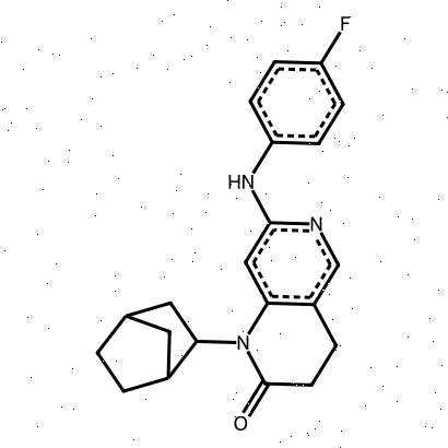 O=C1CCc2cnc(Nc3ccc(F)cc3)cc2N1C1CC2CCC1C2